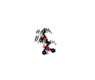 CC[Si](CC)(CCCOCC(CCC(C)CC(C)(C)C)C(C)CC(C)(C)C)CCOC(=O)[C@H](Cc1ccccc1)NC(=O)OCc1ccccc1